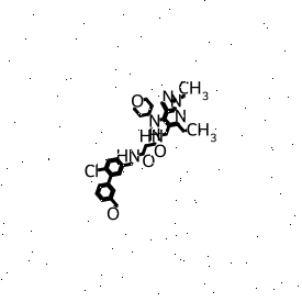 CCc1nc2c(cnn2CC)c(NC2CCOCC2)c1CNC(=O)CC(=O)NCc1ccc(Cl)c(-c2cccc(C=O)c2)c1